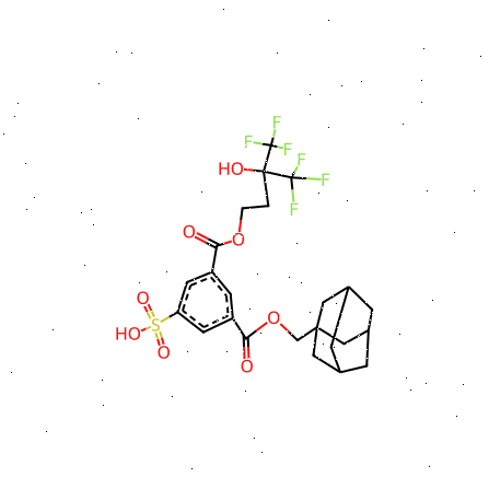 O=C(OCCC(O)(C(F)(F)F)C(F)(F)F)c1cc(C(=O)OCC23CC4CC(CC(C4)C2)C3)cc(S(=O)(=O)O)c1